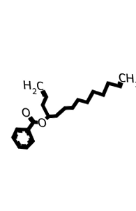 C=CCCCCCCCCC(CC=C)OC(=O)c1ccccc1